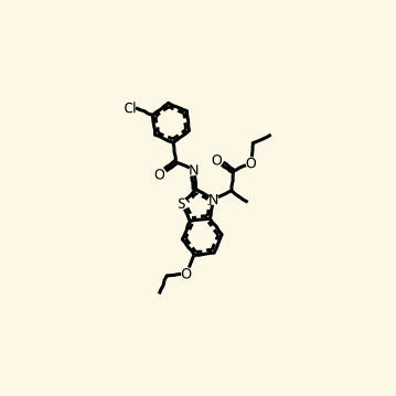 CCOC(=O)C(C)n1/c(=N/C(=O)c2cccc(Cl)c2)sc2cc(OCC)ccc21